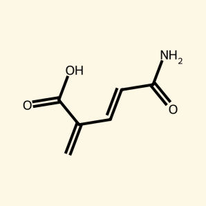 C=C(C=CC(N)=O)C(=O)O